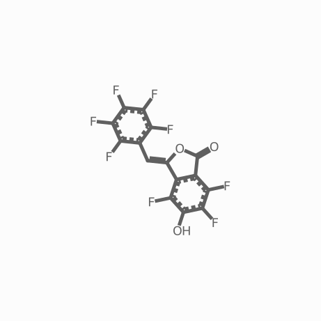 O=C1OC(=Cc2c(F)c(F)c(F)c(F)c2F)c2c(F)c(O)c(F)c(F)c21